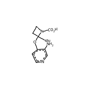 CC(C)(C)C1(Oc2ccncc2N)CCN1C(=O)O